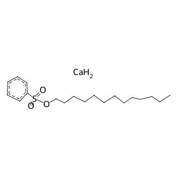 CCCCCCCCCCCCCOS(=O)(=O)c1ccccc1.[CaH2]